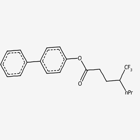 CCCC(CCC(=O)Oc1ccc(-c2ccccc2)cc1)C(F)(F)F